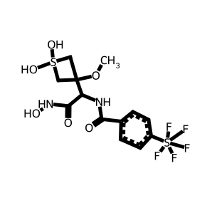 COC1(C(NC(=O)c2ccc(S(F)(F)(F)(F)F)cc2)C(=O)NO)CS(O)(O)C1